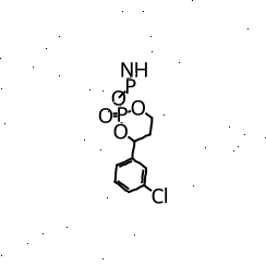 N=POP1(=O)OCCC(c2cccc(Cl)c2)O1